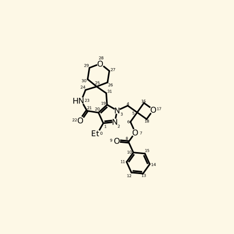 CCc1nn(CC2(COC(=O)c3ccccc3)COC2)c2c1C(=O)NCC1(CCOCC1)C2